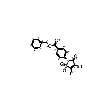 O=C(OCc1ccccc1)c1ccc(N2C(=O)C(Cl)=C(Cl)S2(=O)=O)cc1